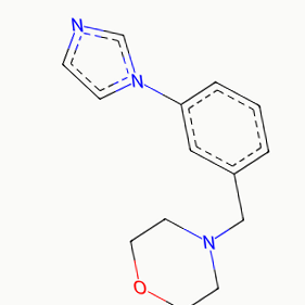 c1cc(CN2CCOCC2)cc(-n2ccnc2)c1